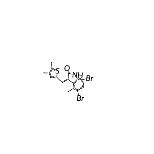 Cc1cc(C=C2C(=O)Nc3c(Br)cc(Br)c(C)c32)sc1C